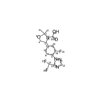 CC1(C)OCC(c2ccc(-n3ncnc3C(F)F)c(F)c2)N1C(=O)O